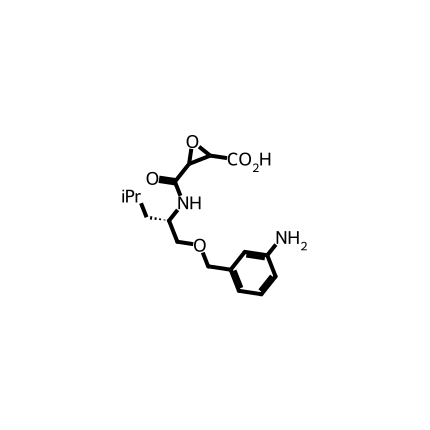 CC(C)C[C@@H](COCc1cccc(N)c1)NC(=O)C1OC1C(=O)O